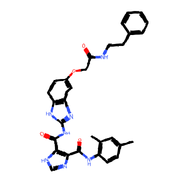 Cc1ccc(NC(=O)c2nc[nH]c2C(=O)Nc2nc3cc(OCC(=O)NCCc4ccccc4)ccc3[nH]2)c(C)c1